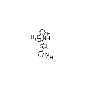 Cc1cccc(F)c1NC(=O)c1cc2c(s1)-c1ccccc1N(C)CC2